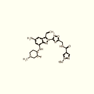 C=Cc1c2cc(N)cc(N[C@@H]3CCN(C)C[C@@H]3F)c2nn1-c1noc(CNC(=O)c2cnn(C(C)(C)C)c2)n1